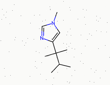 CC(C)C(C)(C)c1cn(C)cn1